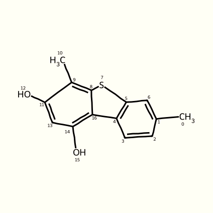 Cc1ccc2c(c1)sc1c(C)c(O)cc(O)c12